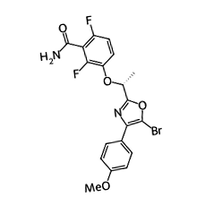 COc1ccc(-c2nc([C@@H](C)Oc3ccc(F)c(C(N)=O)c3F)oc2Br)cc1